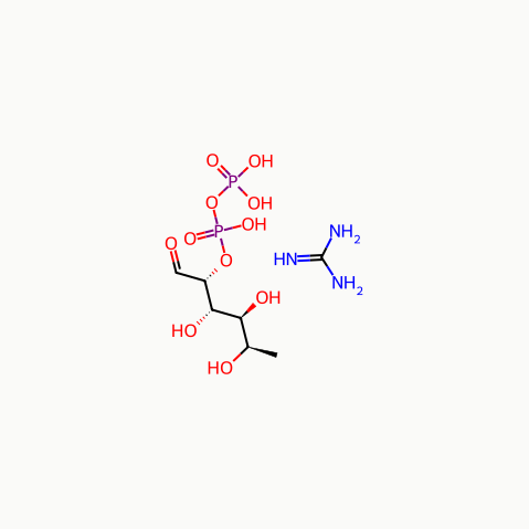 C[C@@H](O)[C@H](O)[C@H](O)[C@H](C=O)OP(=O)(O)OP(=O)(O)O.N=C(N)N